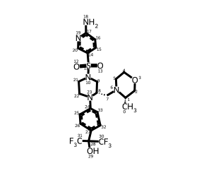 C[C@H]1COCCN1C[C@H]1CN(S(=O)(=O)c2ccc(N)nc2)CCN1c1ccc(C(O)(C(F)(F)F)C(F)(F)F)cc1